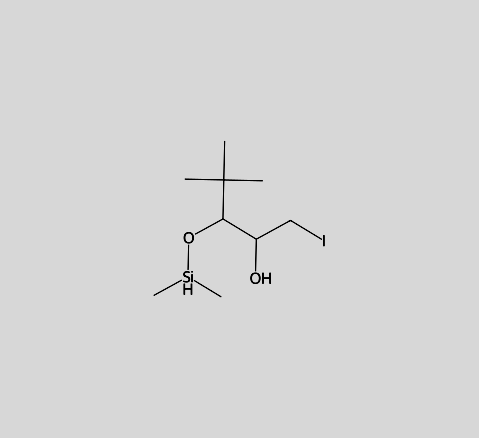 C[SiH](C)OC(C(O)CI)C(C)(C)C